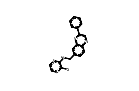 Clc1nccnc1NCc1ccc2ncc(-c3ccccc3)nc2c1